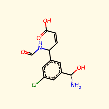 N[C@@H](O)c1cc(Cl)cc(C(/C=C\C(=O)O)NC=O)c1